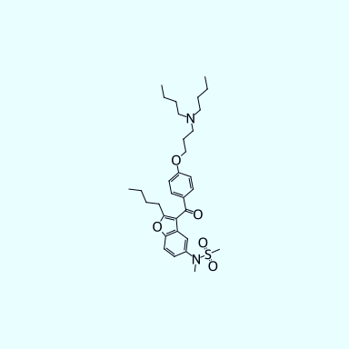 CCCCc1oc2ccc(N(C)S(C)(=O)=O)cc2c1C(=O)c1ccc(OCCCN(CCCC)CCCC)cc1